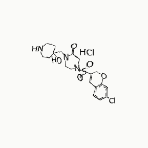 Cl.O=C1CN(S(=O)(=O)C2=Cc3ccc(Cl)cc3OC2)CCN1CC1(O)CCNCC1